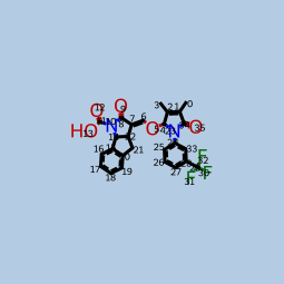 CC1=C(C)C(OC=C2C(=O)N(C(=O)O)C3c4ccccc4CC23)N(c2cccc(C(F)(F)F)c2)C1=O